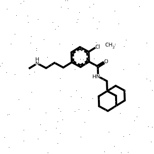 CNCCCc1ccc(Cl)c(C(=O)NCC23CCCC(CCC2)C3)c1.[CH2]